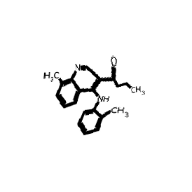 CCCC(=O)c1cnc2c(C)cccc2c1Nc1ccccc1C